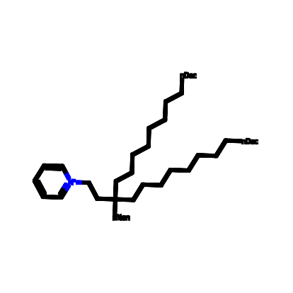 CCCCCCCCCCCCCCCCCCC(CCCCCCCCC)(CCCCCCCCCCCCCCCCCC)CC[n+]1ccccc1